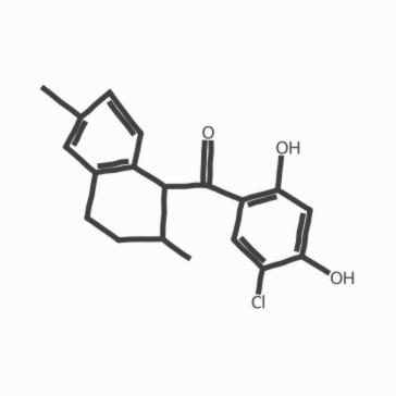 Cc1ccc2c(c1)CCC(C)C2C(=O)c1cc(Cl)c(O)cc1O